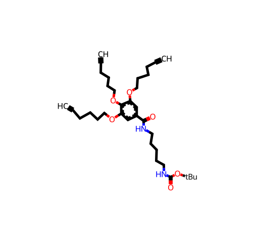 C#CCCCCOc1cc(C(=O)NCCCCCNC(=O)OC(C)(C)C)cc(OCCCCC#C)c1OCCCCC#C